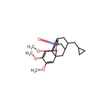 COC1=CC2=C3CC4CC2(C=C1OC)/C=C(/OC)[N+](=O)/C=C\3CC4CC1CC1